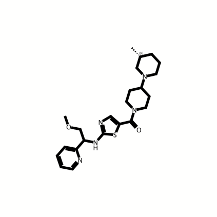 COCC(Nc1ncc(C(=O)N2CCC(N3CCC[C@@H](C)C3)CC2)s1)c1ccccn1